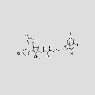 Cc1c(CNC(=O)NCCCCCC2[C@H]3C[C@@H]4C[C@@H](C[C@H]2C4)C3)nn(-c2ccc(Cl)cc2Cl)c1-c1ccc(Cl)cc1